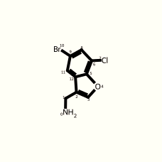 NCc1coc2c(Cl)cc(Br)cc12